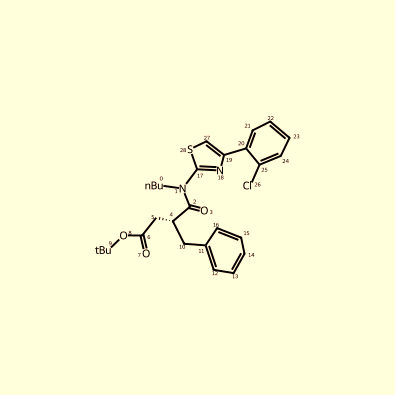 CCCCN(C(=O)[C@@H](CC(=O)OC(C)(C)C)Cc1ccccc1)c1nc(-c2ccccc2Cl)cs1